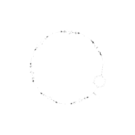 O=C1c2ccc(cc2)Oc2ccc(cc2)Oc2ccc(cc2)Oc2ccc(cc2)Oc2ccc(cc2)Oc2ccc(cc2)Oc2ccc1cc2